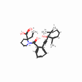 CCC1(C(=O)O)CCCCN1C(=O)c1ccccc1C#CC1(O)C(C)CCCC1(C)C